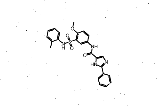 COc1ccc(NC(=O)c2cnc(-c3ccccc3)[nH]2)cc1S(=O)(=O)Nc1ccccc1C